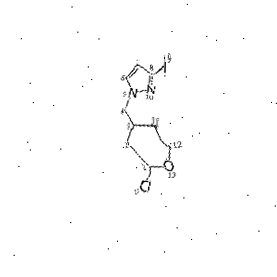 ClC1CC(Cn2ccc(I)n2)CCO1